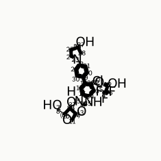 O=C(O)C(F)(F)F.OC[C@H]1OC[C@@H](Oc2nc3cc(-c4ccc(N5CC[C@@H](O)C5)cc4)c(Cl)cc3[nH]2)[C@@H]1O